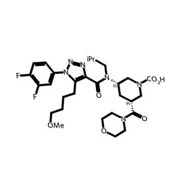 COCCCCc1c(C(=O)N(CC(C)C)[C@H]2C[C@@H](C(=O)N3CCOCC3)CN(C(=O)O)C2)nnn1-c1ccc(F)c(F)c1